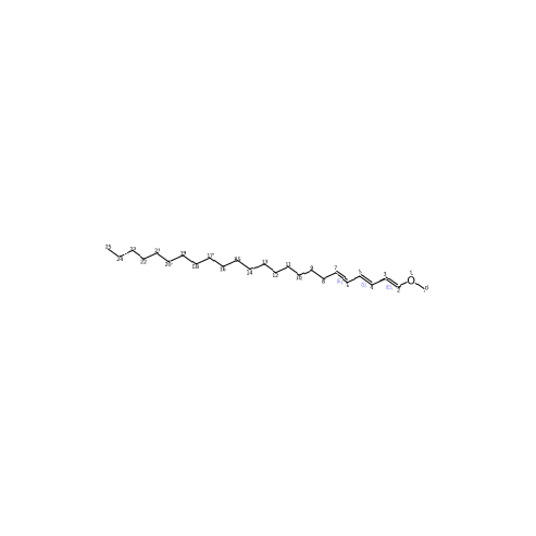 [CH2]O/C=C/C=C/C=C/CCCCCCCCCCCCCCCCCC